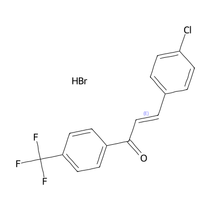 Br.O=C(/C=C/c1ccc(Cl)cc1)c1ccc(C(F)(F)F)cc1